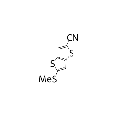 CSc1cc2sc(C#N)cc2s1